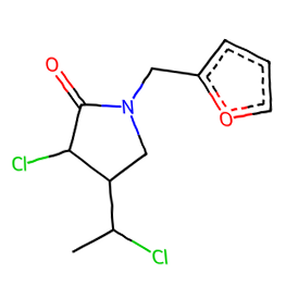 CC(Cl)C1CN(Cc2ccco2)C(=O)C1Cl